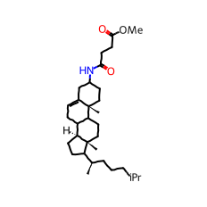 COC(=O)CCC(=O)NC1CC[C@@]2(C)C(=CCC3C2CC[C@]2(C)C([C@H](C)CCCC(C)C)CC[C@@H]32)C1